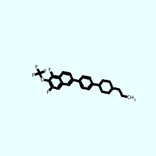 CCCC1CCC(c2ccc(-c3ccc4c(F)c(OC(F)(F)F)c(F)cc4c3)cc2)CC1